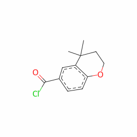 CC1(C)CCOc2ccc(C(=O)Cl)cc21